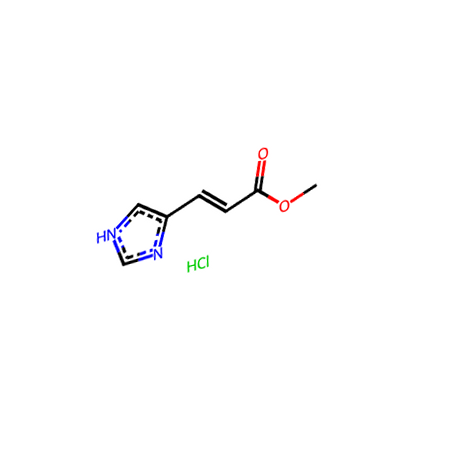 COC(=O)C=Cc1c[nH]cn1.Cl